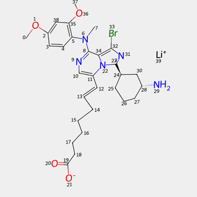 COc1ccc(N(C)c2ncc(/C=C/CCCCCC(=O)[O-])n3c([C@@H]4CCC[C@@H](N)C4)nc(Br)c23)c(OC)c1.[Li+]